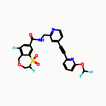 O=C(NCc1cc(C#Cc2cccc(OC(F)F)n2)ccn1)c1cc(F)c2c(c1)S(=O)(=O)C(F)COC2